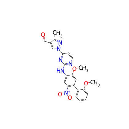 COc1cc(-c2ccccc2OC)c([N+](=O)[O-])cc1Nc1nccc(-n2cc(C=O)c(C)n2)n1